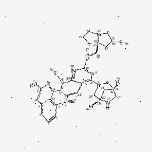 C#Cc1cccc2cc(O)cc(-c3ncc4c(N5C[C@@H]6CN[C@@H](C6)C5)nc(OC[C@@]56CCCN5C[C@H](F)C6)nc4c3F)c12